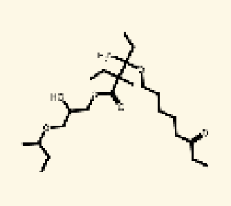 CCC(=O)CCCCCOC(N)(CC)C(C)(CC)C(=O)OCC(O)COC(C)CC